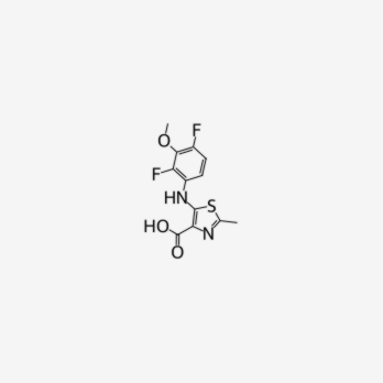 COc1c(F)ccc(Nc2sc(C)nc2C(=O)O)c1F